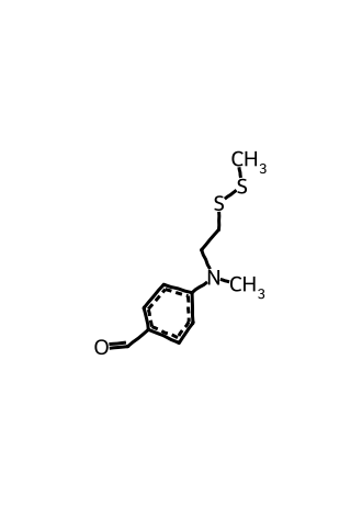 CSSCCN(C)c1ccc(C=O)cc1